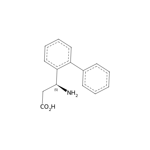 N[C@@H](CC(=O)O)c1ccccc1-c1ccccc1